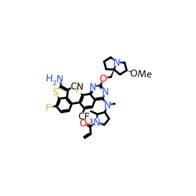 C=CC(=O)N1CCC(N(C)c2nc(OC[C@@]34CCCN3C[C@H](OC)C4)nc3c(F)c(-c4ccc(F)c5sc(N)c(C#N)c45)c(C(F)(F)F)cc23)C1C